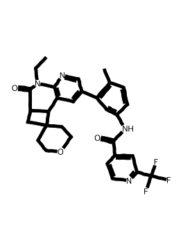 CCN1C(=O)C2CC3(CCOCC3)C2c2cc(-c3cc(NC(=O)c4ccnc(C(F)(F)F)c4)ccc3C)cnc21